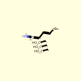 CC(=O)O.CC(=O)O.CC(=O)O.CCCC/C=C/C=C=N